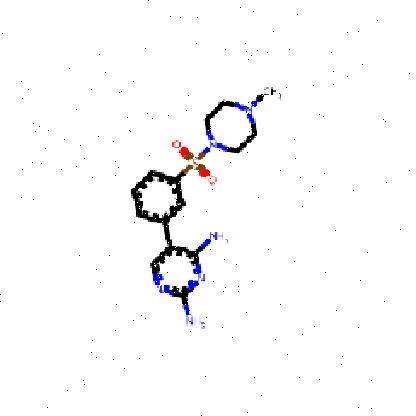 CN1CCN(S(=O)(=O)c2cccc(-c3cnc(N)nc3N)c2)CC1